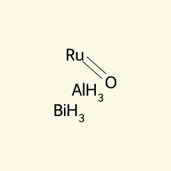 [AlH3].[BiH3].[O]=[Ru]